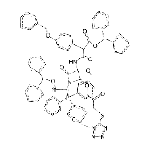 COC1(NC(=O)C(C(=O)OC(c2ccccc2)c2ccccc2)c2ccc(OCc3ccccc3)cc2)C(=O)N(C(C(=O)OC(c2ccccc2)c2ccccc2)=P(c2ccccc2)(c2ccccc2)c2ccccc2)C1OCC(=O)CSc1nnnn1C